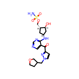 NS(=O)(=O)OC[C@H]1C[C@@H](Nc2ncncc2C(=O)c2ccn(CC3CCOC3)n2)C[C@@H]1O